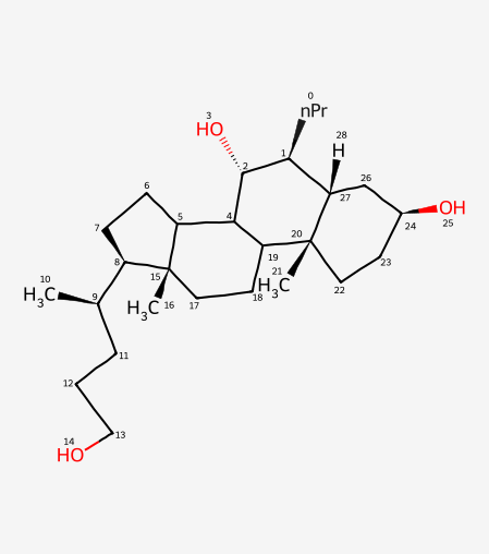 CCC[C@@H]1[C@@H](O)C2C3CC[C@H]([C@H](C)CCCO)[C@@]3(C)CCC2[C@@]2(C)CC[C@H](O)C[C@@H]12